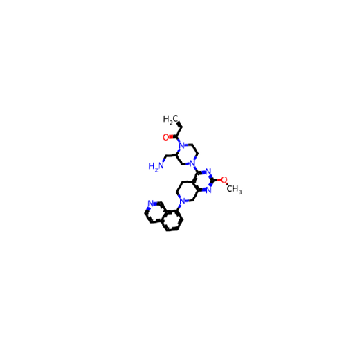 C=CC(=O)N1CCN(c2nc(OC)nc3c2CCN(c2cccc4ccncc24)C3)CC1CN